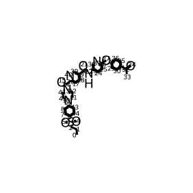 CCCS(=O)(=O)c1ccc(N2CCN(C(=O)c3ccc(C(=O)Nc4ccc(Oc5ccc(C(C)=O)cc5)nc4)cn3)CC2)cc1